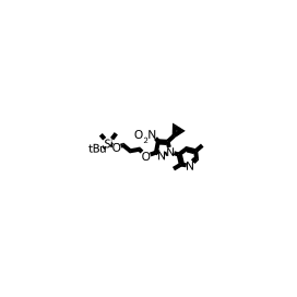 Cc1cnc(C)c(-n2nc(OCCCO[Si](C)(C)C(C)(C)C)c([N+](=O)[O-])c2C2CC2)c1